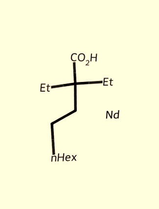 CCCCCCCCC(CC)(CC)C(=O)O.[Nd]